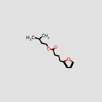 CC(C)CCOC(=O)CCCc1ccco1